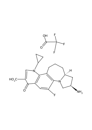 N[C@@H]1C[C@@H]2CCCc3c(c(F)cc4c(=O)c(C(=O)O)cn(C5CC5)c34)N2C1.O=C(O)C(F)(F)F